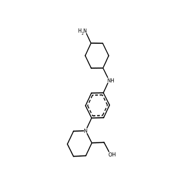 NC1CCC(Nc2ccc(N3CCCCC3CO)cc2)CC1